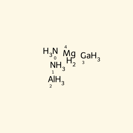 N.N.[AlH3].[GaH3].[MgH2]